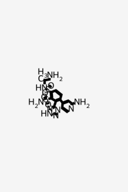 CC(CN)NS(=O)(=O)c1ccc(-c2ccnc(N)c2)c(-c2nn[nH]n2)c1S(N)(=O)=O